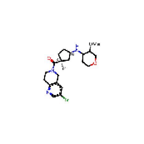 COC1COCCC1N[C@@H]1CC[C@@](C(=O)N2CCc3ncc(Br)cc3C2)(C(C)C)C1